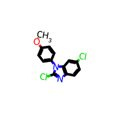 COc1ccc(-n2c(Cl)nc3ccc(Cl)cc32)cc1